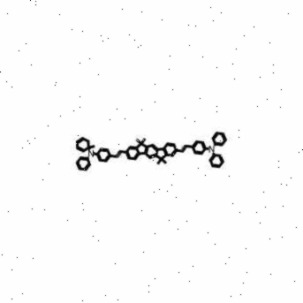 CC1(C)c2cc(/C=C/c3ccc(N(c4ccccc4)c4ccccc4)cc3)ccc2-c2cc3c(cc21)-c1ccc(/C=C/c2ccc(N(c4ccccc4)C4(C)C=CC=CC4)cc2)cc1C3(C)C